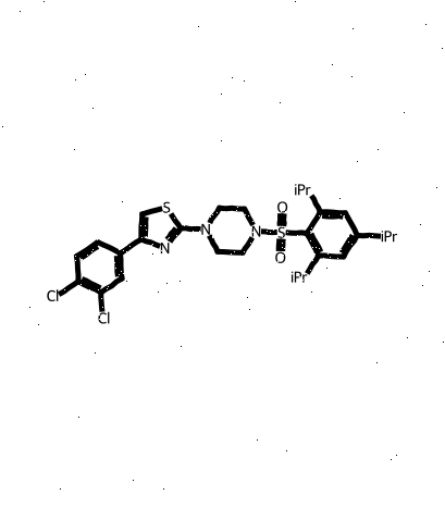 CC(C)c1cc(C(C)C)c(S(=O)(=O)N2CCN(c3nc(-c4ccc(Cl)c(Cl)c4)cs3)CC2)c(C(C)C)c1